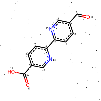 O=Cc1ccc(-c2ccc(C(=O)O)cn2)nc1